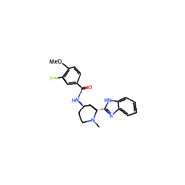 COc1ccc(C(=O)N[C@@H]2CCN(C)[C@@H](c3nc4ccccc4[nH]3)C2)cc1F